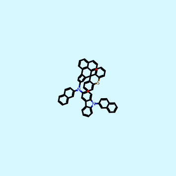 c1ccc2c(c1)Sc1ccccc1C21c2cc(N(c3ccc4ccccc4c3)c3ccc4c(c3)c3ccccc3n4-c3ccc4ccccc4c3)ccc2-c2cccc3cccc1c23